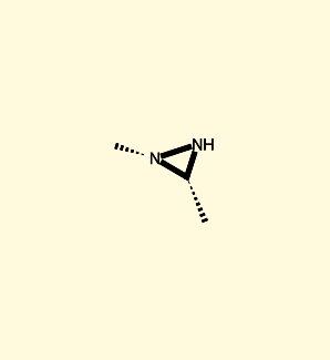 C[C@H]1N[N@@]1C